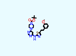 COc1cccc(/C=C/c2cnc(Nc3cc(N4CCN(C(=O)OC(C)(C)C)CC4)ncn3)s2)c1